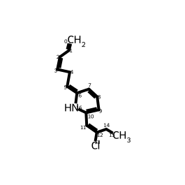 C=C/C=C\C/C=C1\C=CC=C(/C=C(/Cl)CC)N1